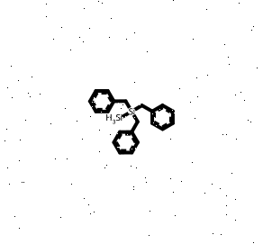 [SiH3][Si](Cc1ccccc1)(Cc1ccccc1)Cc1ccccc1